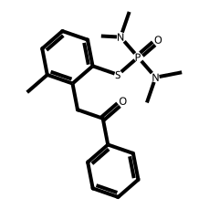 Cc1cccc(SP(=O)(N(C)C)N(C)C)c1CC(=O)c1ccccc1